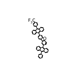 FC(F)(F)c1ccc(-c2c3ccccc3c(-c3ccc4c(c3)oc3c#cc(-c5c6ccccc6c(-c6ccccc6)c6ccccc56)cc34)c3ccccc23)cc1